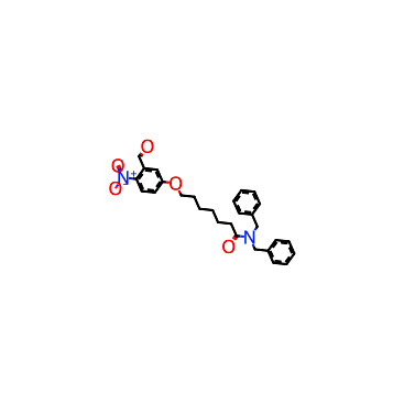 O=Cc1cc(OCCCCCCC(=O)N(Cc2ccccc2)Cc2ccccc2)ccc1[N+](=O)[O-]